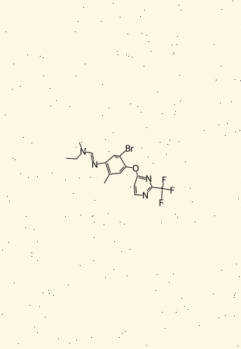 CCN(C)C=Nc1cc(Br)c(Oc2ccnc(C(F)(F)F)n2)cc1C